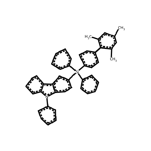 Cc1cc(C)c(-c2ccc([Si](c3ccccc3)(c3ccccc3)c3ccc4c(c3)c3ccccc3n4-c3ccccc3)cc2)c(C)c1